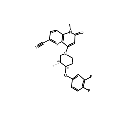 C[C@@H]1CN(c2cc(=O)n(C)c3ccc(C#N)nc23)CC[C@H]1Oc1ccc(F)c(F)c1